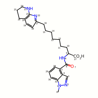 Cn1ncc2c(C(=O)NC(CCCCCCCc3ccc4c(n3)NCCC4)C(=O)O)cccc21